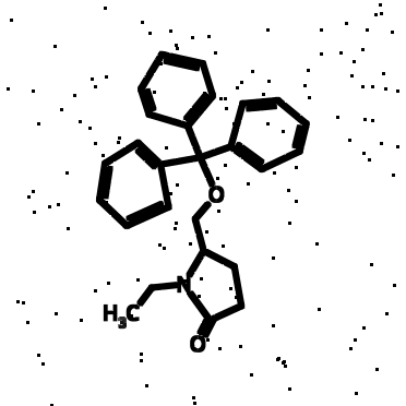 CCN1C(=O)CCC1COC(c1ccccc1)(c1ccccc1)c1ccccc1